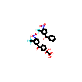 O=C(O)C(=O)O.O=C(c1ccccc1)c1ccc([N+](=O)[O-])c(C(F)(F)F)c1.O=C(c1ccccc1)c1ccc([N+](=O)[O-])c(C(F)(F)F)c1